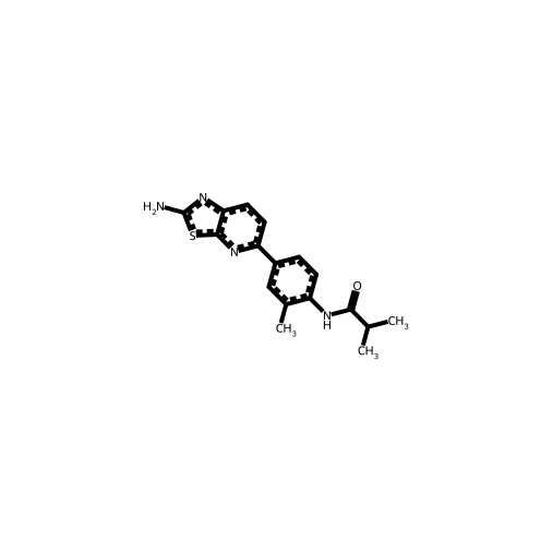 Cc1cc(-c2ccc3nc(N)sc3n2)ccc1NC(=O)C(C)C